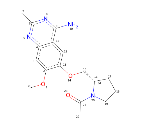 COc1cc2nc(C)nc(N)c2cc1OC[C@@H]1CCCN1C(C)=O